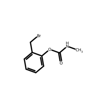 CNC(=O)Oc1ccccc1CBr